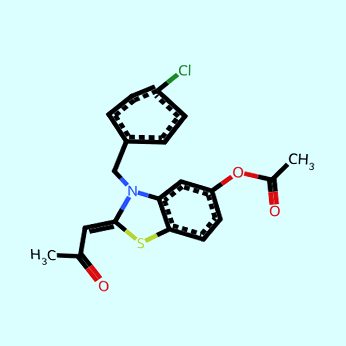 CC(=O)/C=C1\Sc2ccc(OC(C)=O)cc2N1Cc1ccc(Cl)cc1